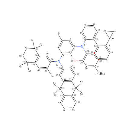 Cc1cc2c3c(c1)N(c1cccc4c1-c1ccccc1C1CC41)c1ccc(C(C)(C)C)cc1B3c1cc3c(cc1N2c1cc2c(cc1C)C(C)(C)CCC2(C)C)C(C)(C)c1ccccc1C3(C)C